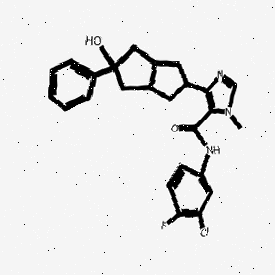 Cn1cnc(C2CC3CC(O)(c4ccccc4)CC3C2)c1C(=O)Nc1ccc(F)c(Cl)c1